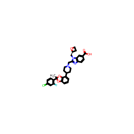 CC1(c2ccc(Cl)cc2F)Oc2cccc(C3CCN(Cc4nc5ccc(C(=O)O)cc5n4C[C@@H]4CCO4)CC3)c2O1